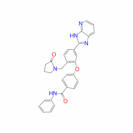 O=C(Nc1ccccc1)c1ccc(Oc2cc(-c3nc4cccnc4[nH]3)ccc2CN2CCCC2=O)cc1